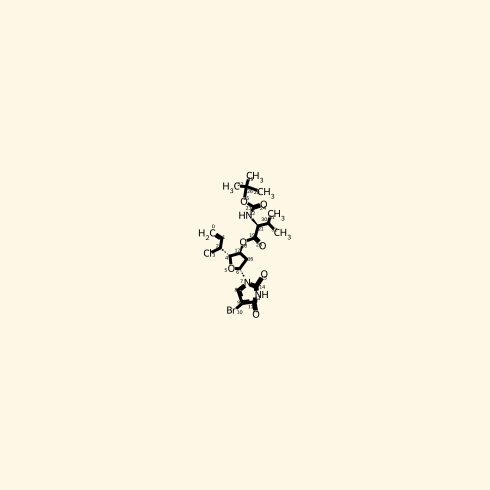 C=CC(Cl)[C@H]1O[C@@H](n2cc(Br)c(=O)[nH]c2=O)C[C@@H]1OC(=O)[C@@H](NC(=O)OC(C)(C)C)C(C)C